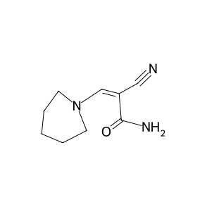 N#CC(=CN1CCCCC1)C(N)=O